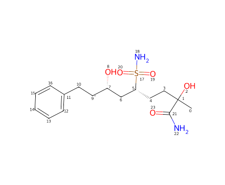 CC(O)(CC[C@H](C[C@@H](O)[CH]Cc1ccccc1)S(N)(=O)=O)C(N)=O